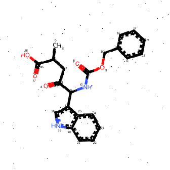 CC(CC(=O)C(NC(=O)OCc1ccccc1)c1c[nH]c2ccccc12)C(=O)O